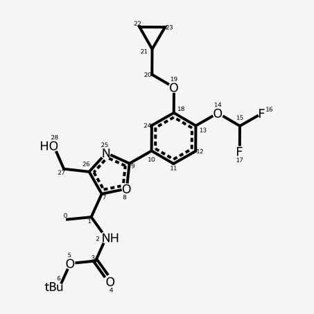 CC(NC(=O)OC(C)(C)C)c1oc(-c2ccc(OC(F)F)c(OCC3CC3)c2)nc1CO